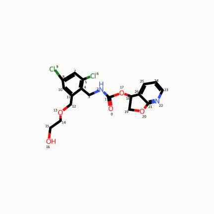 O=C(NCc1c(Cl)cc(Cl)cc1COCCO)OC1COc2ncccc21